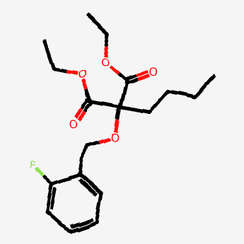 CCCCC(OCc1ccccc1F)(C(=O)OCC)C(=O)OCC